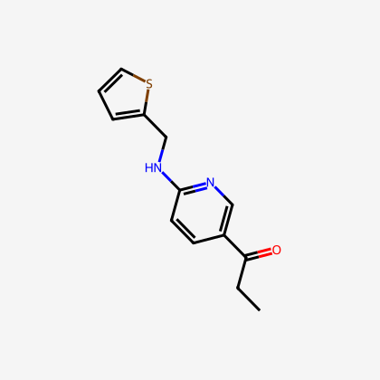 CCC(=O)c1ccc(NCc2cccs2)nc1